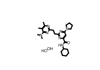 Cc1nc(CCc2nc(C(=O)NC3CCCCC3)cc(N3CCCC3)n2)nc(N(C)C)c1C.Cl.Cl